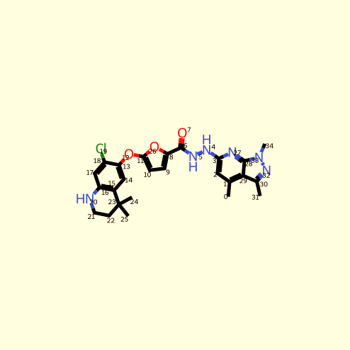 Cc1cc(NNC(=O)c2ccc(Oc3cc4c(cc3Cl)NCCC4(C)C)o2)nc2c1c(C)nn2C